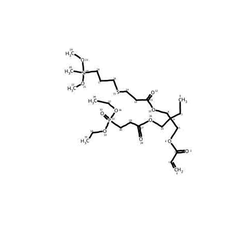 C=CC(=O)OCC(CC)(COC(=O)CCSCCC[Si](C)(OC)OC)COC(=O)CCP(=O)(OCC)OCC